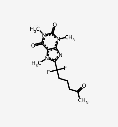 CC(=O)CCCC(F)(F)c1nc2c(c(=O)n(C)c(=O)n2C)n1C